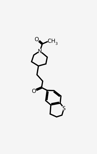 CC(=O)N1CCC(CCC(=O)c2ccc3c(c2)CCCS3)CC1